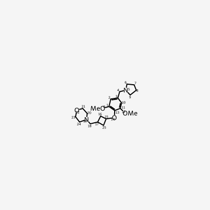 COc1cc(CN2CCCC2)cc(OC)c1OC1CC(CN2CCOCC2)C1